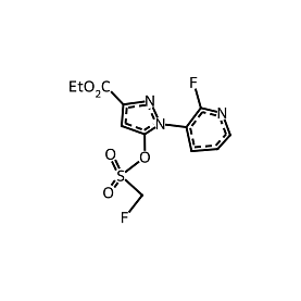 CCOC(=O)c1cc(OS(=O)(=O)CF)n(-c2cccnc2F)n1